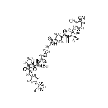 Cc1ncsc1-c1ccc(CNC(=O)[C@@H]2CCCN2C(=O)[C@@H](NC(=O)COCCCNC(=O)c2ccc(C(=O)N[C@H]3C(C)(C)[C@H](Oc4ccc(C#N)c(Cl)c4)C3(C)C)cc2)C(C)(C)C)cc1